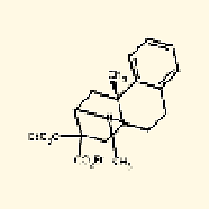 CCOC(=O)C1(C(=O)OCC)CC2C3Cc4ccccc4[C@@]2(C)CC1N3C